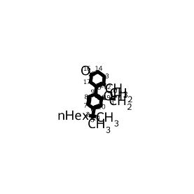 C=C.CCCCCCC(C)(C)c1ccc(C2=C(C)CCC(=O)C2)c(O)c1